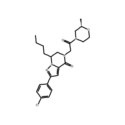 CCCCC1CN(CC(=O)N2CCO[C@H](C)C2)C(=O)c2cc(-c3ccc(Cl)cc3)nn21